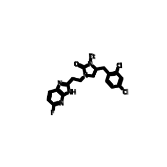 CCN1C(=O)N(CCc2nc3ccc(F)nc3[nH]2)CC1Cc1ccc(Cl)cc1Cl